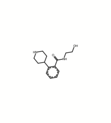 O=C(NCCO)c1ccccc1C1CCNCC1